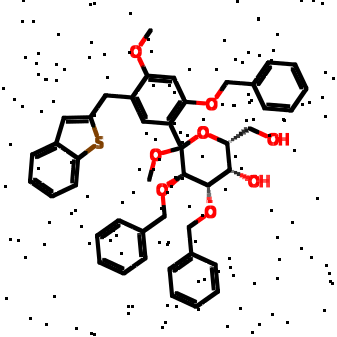 COc1cc(OCc2ccccc2)c(C2(OC)O[C@H](CO)[C@H](O)[C@H](OCc3ccccc3)[C@H]2OCc2ccccc2)cc1Cc1cc2ccccc2s1